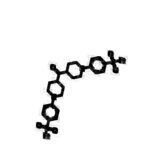 CCS(=O)(=O)c1ccc(N2CCC(C(=O)C3CCN(c4ccc(S(=O)(=O)CC)cc4)CC3)CC2)cc1